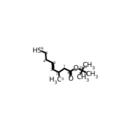 CC(/C=C/CCS)CC(=O)OC(C)(C)C